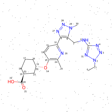 CCn1nnc(NCc2c(-c3ccc(O[C@H]4CCC[C@H](C(=O)O)C4)c(C)n3)nnn2C)n1